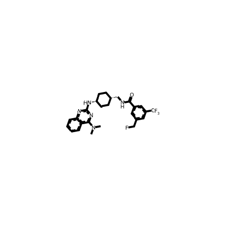 CN(C)c1nc(N[C@H]2CC[C@@H](CNC(=O)c3cc(CF)cc(C(F)(F)F)c3)CC2)nc2ccccc12